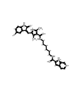 Cc1[nH]c(C=C2C(=O)Nc3ccc(F)cc32)c(C)c1C(=O)NCCCCCCNC(=O)c1cc2ccncc2[nH]1